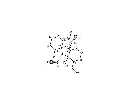 CCC1CCCC(C)C1(CC1(N=C=O)C(C)CCCC1CC)N=C=O